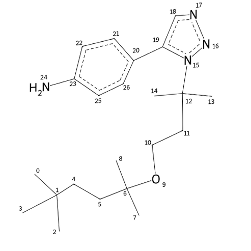 CC(C)(C)CCC(C)(C)OCCC(C)(C)n1nncc1-c1ccc(N)cc1